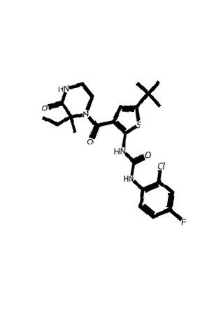 CCC1(C)C(=O)NCCN1C(=O)c1cc(C(C)(C)C)sc1NC(=O)Nc1ccc(F)cc1Cl